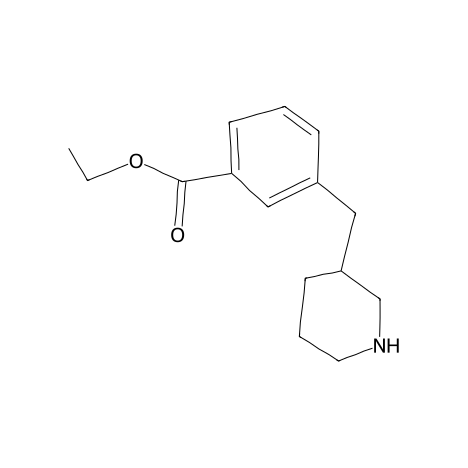 CCOC(=O)c1cccc(CC2CCCNC2)c1